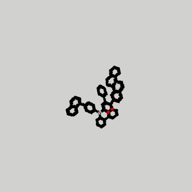 c1ccc(-c2cc(N(c3ccc(-c4cccc5ccccc45)cc3)c3ccccc3-c3ccccc3)ccc2-c2ccc3ccc4c5ccccc5ccc4c3c2)cc1